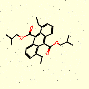 CCc1cccc2c(C(=O)OCC(C)C)c3c(CC)cccc3c(C(=O)OCC(C)C)c12